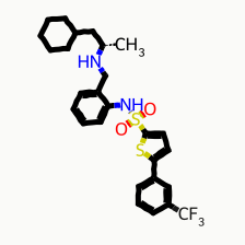 C[C@@H](CC1CCCCC1)NCc1ccccc1NS(=O)(=O)c1ccc(-c2cccc(C(F)(F)F)c2)s1